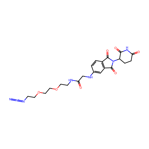 [N-]=[N+]=NCCOCCOCCNC(=O)CNc1ccc2c(c1)C(=O)N(C1CCC(=O)NC1=O)C2=O